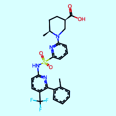 Cc1ccccc1-c1nc(NS(=O)(=O)c2cccc(N3C[C@H](C(=O)O)CC[C@@H]3C)n2)ccc1C(F)(F)F